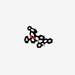 c1ccc(-c2ccc(N(c3ccccc3-c3cccc4c3ccc3ccccc34)c3cccc4oc5c6ccccc6ccc5c34)cc2)cc1